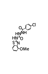 COc1cccc2sc(NC(=O)NNC(=O)c3ccc(Cl)cc3)nc12